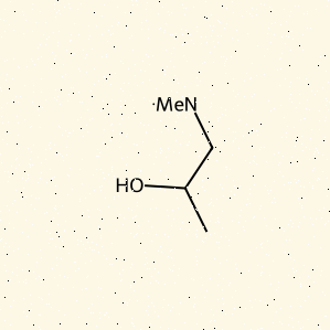 C[N]CC(C)O